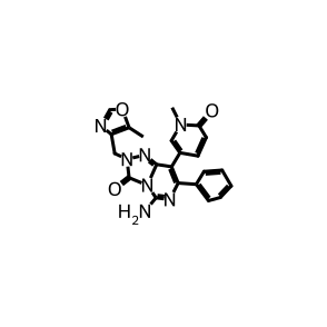 Cc1ocnc1Cn1nc2c(-c3ccc(=O)n(C)c3)c(-c3ccccc3)nc(N)n2c1=O